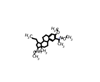 CCCC1CC(NOC)C2(C)CCC3c4cc(/C(C)=N/OC)c(OC)cc4CCC3C12